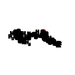 CCN(CC)c1ccc2cc(-c3nc4cc(C(=O)NC(CNC(=O)C5=C/C=C\C=C/C=C\5)C(=O)NCCCCCNC(=O)c5cccc(OCC(N)OCC(=O)NCC#Cc6cn(C7CC(OCN)C(COP(=O)(O)OP(=O)(O)OP(=O)(O)O)O7)c(=O)nc6N)c5)ccc4o3)c(=O)oc2c1